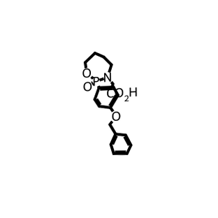 O=C(O)CN1CCCCOP1(=O)c1ccc(OCc2ccccc2)cc1